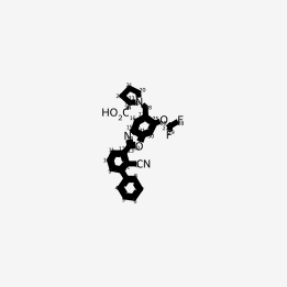 N#Cc1c(-c2ccccc2)cccc1-c1nc2cc(CN3CCC[C@H]3C(=O)O)c(OC(F)F)cc2o1